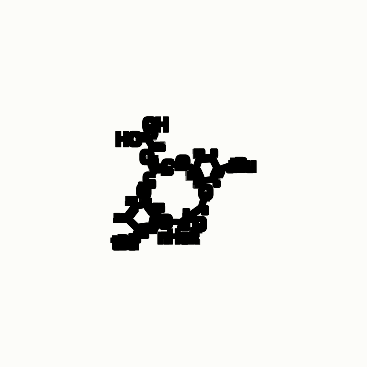 CCCCCCOC1COc2cc(C(C)(C)C)ccc2OCC(OCC(O)O)COc2ccc(C(C)(C)C)cc2OC1